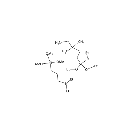 CCN(CC)CCC[Si](OC)(OC)OC.CCO[Si](CCC(C)(C)CN)(OCC)OCC